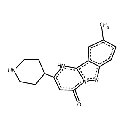 Cc1ccc2nn3c(=O)cc(C4CCNCC4)[nH]c3c2c1